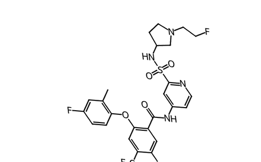 Cc1cc(F)ccc1Oc1cc(C(F)(F)F)c(Cl)cc1C(=O)Nc1ccnc(S(=O)(=O)NC2CCN(CCF)C2)c1